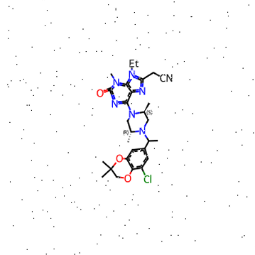 CCn1c(CC#N)nc2c(N3C[C@@H](C)N(C(C)c4cc(Cl)c5c(c4)OC(C)(C)CO5)C[C@@H]3C)nc(=O)n(C)c21